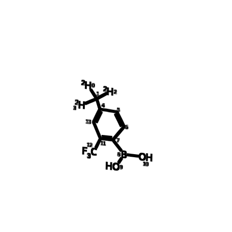 [2H]C([2H])([2H])c1ccc(B(O)O)c(C(F)(F)F)c1